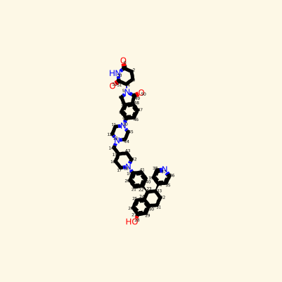 O=C1CC[C@H](N2Cc3cc(N4CCN(CC5CCN(c6ccc([C@@H]7c8ccc(O)cc8CC[C@@H]7c7ccncc7)cc6)CC5)CC4)ccc3C2=O)C(=O)N1